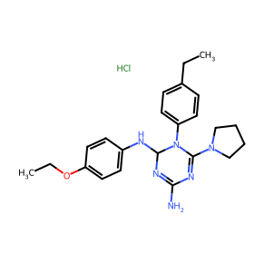 CCOc1ccc(NC2N=C(N)N=C(N3CCCC3)N2c2ccc(CC)cc2)cc1.Cl